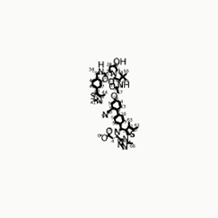 COC(=O)C[C@@H]1N=C(c2ccc(-c3ccc(OCC(=O)NC(C(=O)N4C[C@H](O)C[C@H]4C(=O)N[C@@H](C)c4ccc(-c5scnc5C)cc4)C(C)(C)C)cc3C#N)cc2)c2c(sc(C)c2C)-n2c(C)nnc21